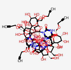 C#CCOC[C@H]1OC([C@@]2(O)[C@H](O)[C@@H](CO)O[C@@]2(OP(=O)(O[C@@]2(n3ccc(=O)[nH]c3=O)O[C@H](CO)[C@@H](O)[C@]2(O)C2O[C@H](COCC#C)[C@H](O)[C@H](O)[C@H]2O)OP(=O)(O[C@@]2(n3ccc(=O)[nH]c3=O)O[C@H](CO)[C@@H](O)[C@]2(O)C2O[C@H](COCC#C)[C@H](O)[C@H](O)[C@H]2O)O[C@@]2(n3ccc(=O)[nH]c3=O)O[C@H](CO)[C@@H](O)[C@]2(O)C2O[C@H](COCC#C)[C@H](O)[C@H](O)[C@H]2O)n2ccc(=O)[nH]c2=O)[C@H](O)[C@@H](O)[C@H]1O